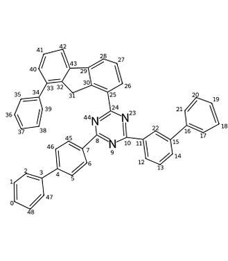 c1ccc(-c2ccc(-c3nc(-c4cccc(-c5ccccc5)c4)nc(-c4cccc5c4Cc4c(-c6ccccc6)cccc4-5)n3)cc2)cc1